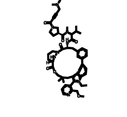 CCn1c(-c2cccnc2COC)c2c3cc(ccc31)-c1cccc(c1)C[C@H](NC(=O)C(C(C)C)N(C)C(=O)[C@H]1CCN(C(=O)C#CCN(C)C)C1)C(=O)N1CCC[C@H](N1)C(=O)OCC(C)(C)C2